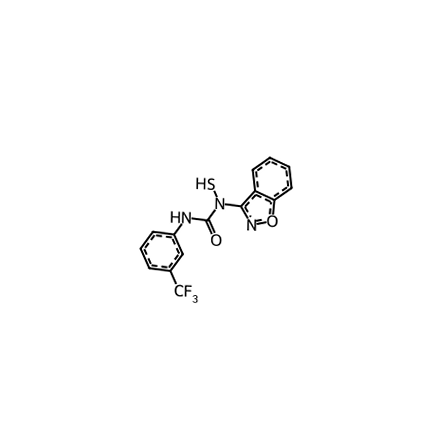 O=C(Nc1cccc(C(F)(F)F)c1)N(S)c1noc2ccccc12